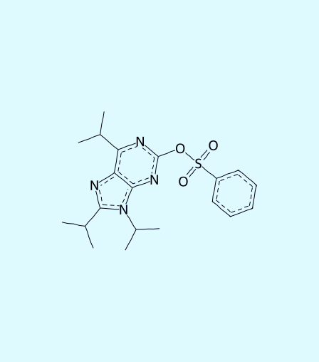 CC(C)c1nc(OS(=O)(=O)c2ccccc2)nc2c1nc(C(C)C)n2C(C)C